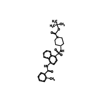 Cc1ccccc1C(=O)Nc1ccc(S(=O)(=O)NC2CCN(C(=O)OC(C)(C)C)CC2)c2ccccc12